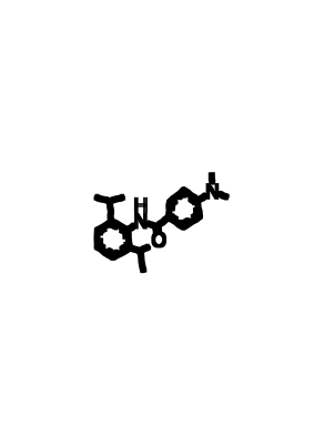 CC(C)c1cccc(C(C)C)c1NC(=O)c1ccc(N(C)C)cc1